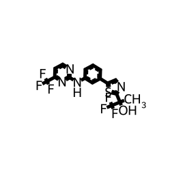 CC(O)(c1ncc(-c2cccc(Nc3nccc(C(F)(F)F)n3)c2)s1)C(F)(F)F